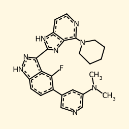 CN(C)c1cncc(-c2ccc3[nH]nc(-c4nc5c(N6CCCCC6)nccc5[nH]4)c3c2F)c1